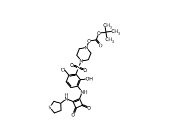 CC(C)(C)OC(=O)ON1CCN(S(=O)(=O)c2c(Cl)ccc(Nc3c(NC4CCSC4)c(=O)c3=O)c2O)CC1